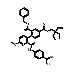 CCC(CC)(CC)CNC(=O)c1ccc(-c2ccc(OC)nc2C(=O)Nc2ccc(C(=N)N)cc2)c(C(=O)OCc2ccccc2)c1